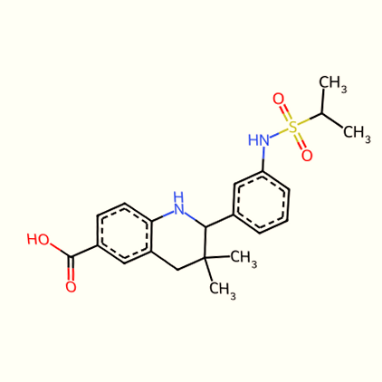 CC(C)S(=O)(=O)Nc1cccc(C2Nc3ccc(C(=O)O)cc3CC2(C)C)c1